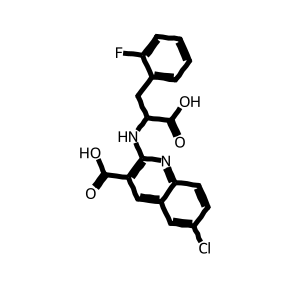 O=C(O)c1cc2cc(Cl)ccc2nc1NC(Cc1ccccc1F)C(=O)O